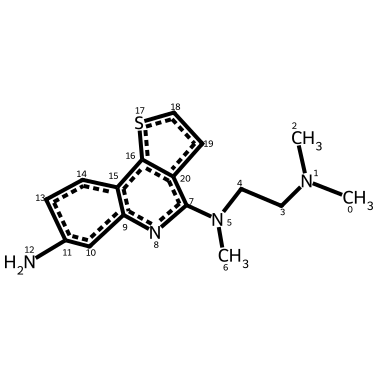 CN(C)CCN(C)c1nc2cc(N)ccc2c2sccc12